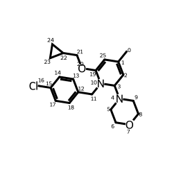 CC1=CC(N2CCOCC2)N(Cc2ccc(Cl)cc2)C(OCC2CC2)=C1